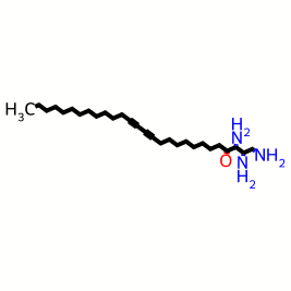 CCCCCCCCCCCCC#CC#CCCCCCCCCC(=O)C(N)C(N)CN